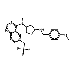 COc1ccc(CN[C@H]2CC[C@@H](N(C)c3ncnc4ccc(CC(F)(F)F)cc34)C2)cc1